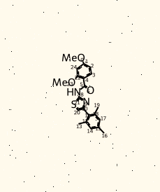 COc1ccc(C(=O)Nc2nc(-c3c(C)cc(C)cc3C)cs2)c(OC)c1